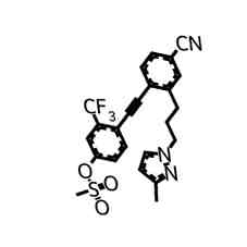 Cc1ccn(CCCc2cc(C#N)ccc2C#Cc2ccc(OS(C)(=O)=O)cc2C(F)(F)F)n1